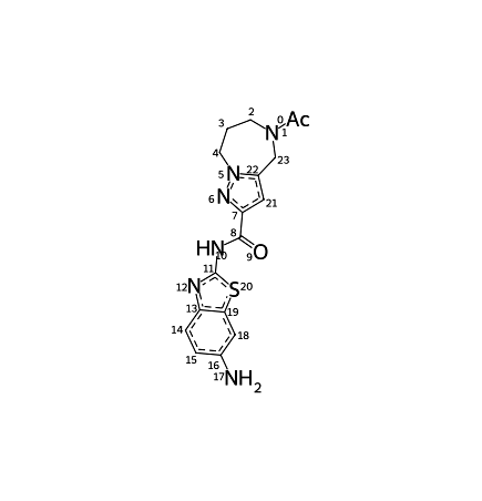 CC(=O)N1CCCn2nc(C(=O)Nc3nc4ccc(N)cc4s3)cc2C1